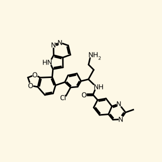 Cc1ncc2ccc(C(=O)NC(CCN)c3ccc(-c4ccc5c(c4-c4cc6ccnnc6[nH]4)OCO5)c(Cl)c3)cc2n1